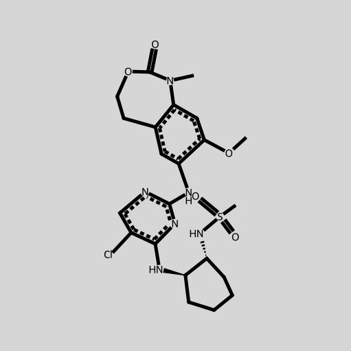 COc1cc2c(cc1Nc1ncc(Cl)c(N[C@@H]3CCCC[C@H]3NS(C)(=O)=O)n1)CCOC(=O)N2C